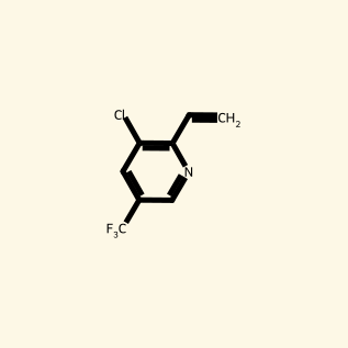 C=Cc1ncc(C(F)(F)F)cc1Cl